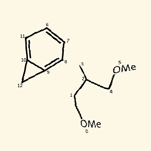 COCC(C)COC.c1ccc2c(c1)C2